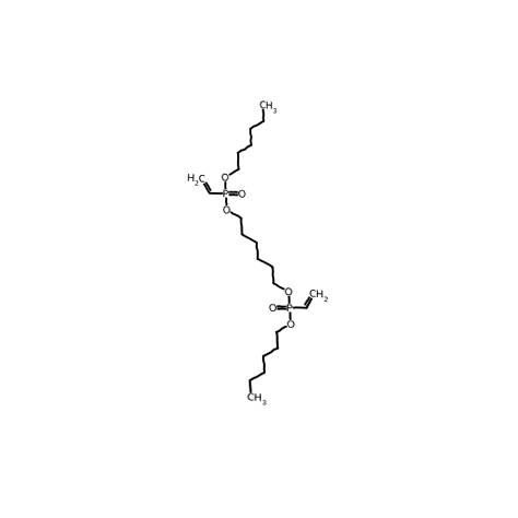 C=CP(=O)(OCCCCCC)OCCCCCCOP(=O)(C=C)OCCCCCC